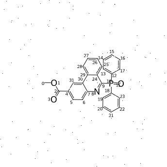 COC(=O)c1ccc2nc(P(=O)(c3ccccc3)c3ccccc3)c3ccccc3c2c1